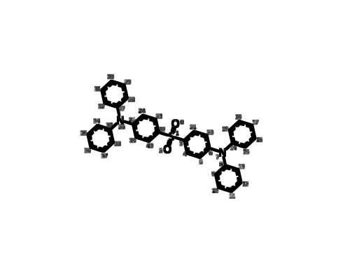 O=S(=O)(c1ccc(N(c2ccccc2)c2ccccc2)cc1)c1ccc(N(c2ccccc2)c2ccccc2)cc1